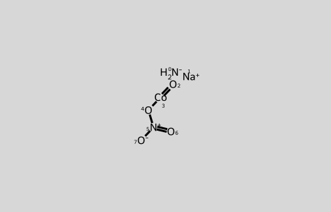 [NH2-].[Na+].[O]=[Co][O][N+](=O)[O-]